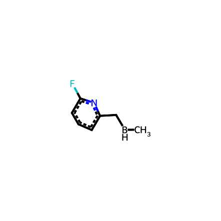 CBCc1cccc(F)n1